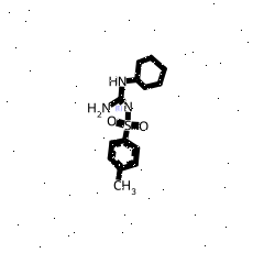 Cc1ccc(S(=O)(=O)/N=C(\N)NC2CCCCC2)cc1